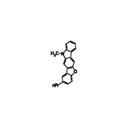 CCCc1ccc2oc3cc4c5ccccc5n(C)c4cc3c2c1